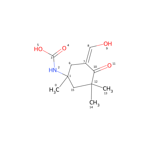 CC1(NC(=O)O)CC(=CO)C(=O)C(C)(C)C1